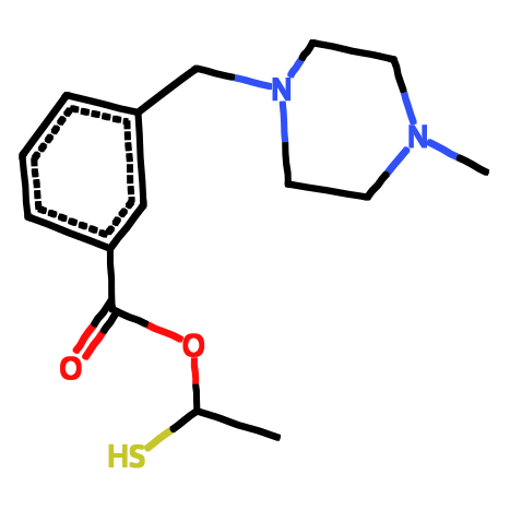 CC(S)OC(=O)c1cccc(CN2CCN(C)CC2)c1